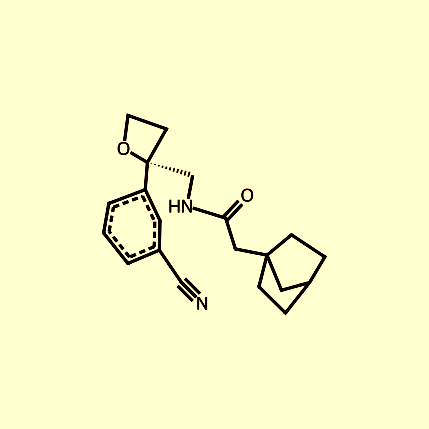 N#Cc1cccc([C@]2(CNC(=O)CC34CCC(CC3)C4)CCO2)c1